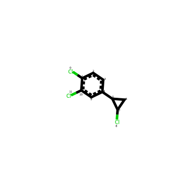 Clc1ccc(C2CC2Cl)cc1Cl